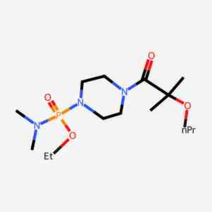 CCCOC(C)(C)C(=O)N1CCN(P(=O)(OCC)N(C)C)CC1